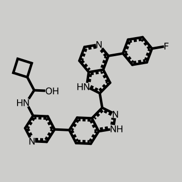 OC(Nc1cncc(-c2ccc3[nH]nc(-c4cc5c(-c6ccc(F)cc6)nccc5[nH]4)c3c2)c1)C1CCC1